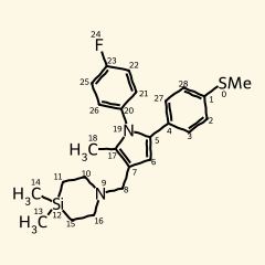 CSc1ccc(-c2cc(CN3CC[Si](C)(C)CC3)c(C)n2-c2ccc(F)cc2)cc1